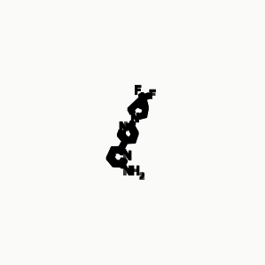 Nc1cccc(-c2ccc(N3CC4C(C3)C4(F)F)nc2)n1